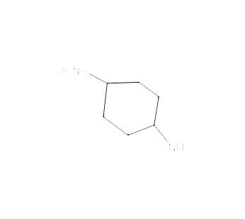 CC(=O)NC1CCC([NH])CC1